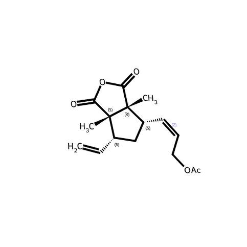 C=C[C@H]1C[C@@H](/C=C\COC(C)=O)[C@@]2(C)C(=O)OC(=O)[C@@]12C